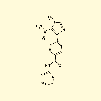 NC(=O)c1c(-c2ccc(C(=O)Nc3ccccn3)cc2)ncn1N